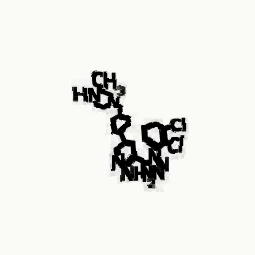 CC1CN(Cc2ccc(-c3cnc(N)c(-c4nnnn4-c4cccc(Cl)c4Cl)c3)cc2)CCN1